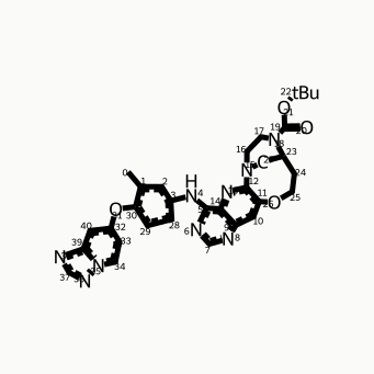 Cc1cc(Nc2ncnc3cc4c(nc23)N2CCN(C(=O)OC(C)(C)C)C(CCO4)C2)ccc1Oc1ccn2ncnc2c1